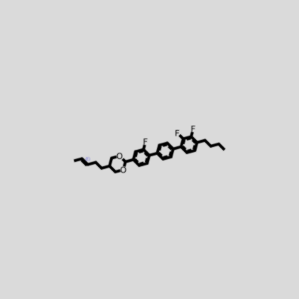 C/C=C/CCC1COC(c2ccc(-c3ccc(-c4ccc(CCCC)c(F)c4F)cc3)c(F)c2)OC1